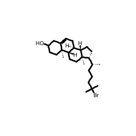 C[C@H](CCCC(C)(C)Br)[C@H]1CC[C@H]2[C@@H]3CC=C4CC(O)CC[C@]4(C)[C@H]3CC[C@]12C